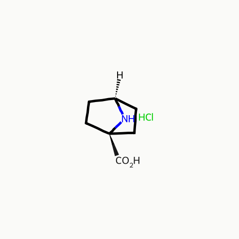 Cl.O=C(O)[C@]12CC[C@@H](CC1)N2